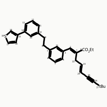 CCOC(=O)C(=Cc1cccc(CCc2cccc(-c3ccsc3)c2)c1)CC=CC#CC(C)(C)C